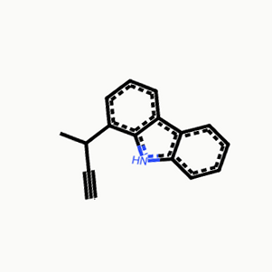 [C]#CC(C)c1cccc2c1[nH]c1ccccc12